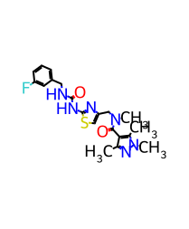 Cc1nn(C)c(C)c1C(=O)N(C)Cc1csc(NC(=O)NCc2cccc(F)c2)n1